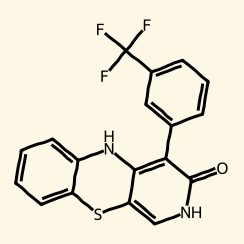 O=c1[nH]cc2c(c1-c1cccc(C(F)(F)F)c1)Nc1ccccc1S2